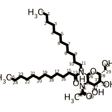 CCCCCCCCCCCCN(C(=O)CCCCCCCCCCC)[C@@H]1O[C@H](CO)[C@@H](O)[C@H](O)[C@H]1NC(C)=O